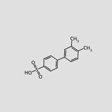 Cc1ccc(-c2ccc(S(=O)(=O)O)cc2)cc1C